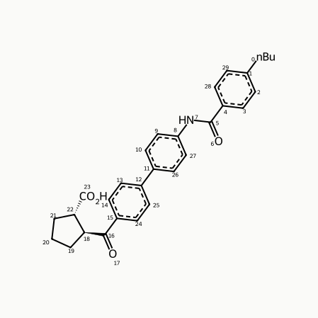 CCCCc1ccc(C(=O)Nc2ccc(-c3ccc(C(=O)[C@H]4CCC[C@@H]4C(=O)O)cc3)cc2)cc1